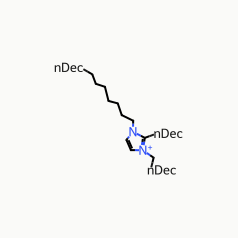 CCCCCCCCCCCCCCCCCn1cc[n+](CCCCCCCCCCC)c1CCCCCCCCCC